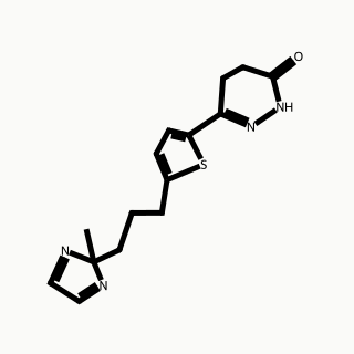 CC1(CCCc2ccc(C3=NNC(=O)CC3)s2)N=CC=N1